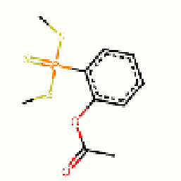 CSP(=S)(SC)c1ccccc1OC(C)=O